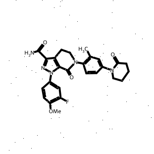 COc1ccc(-n2nc(C(N)=O)c3c2C(=O)N(c2ccc(N4CCCCC4=O)cc2C)CC3)cc1F